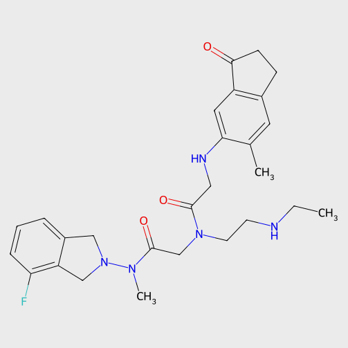 CCNCCN(CC(=O)N(C)N1Cc2cccc(F)c2C1)C(=O)CNc1cc2c(cc1C)CCC2=O